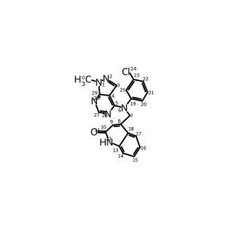 Cn1ncc2c(N(Cc3cc(=O)[nH]c4ccccc34)c3cccc(Cl)c3)ncnc21